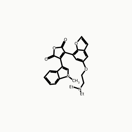 CCN(CC)CCOc1cc(C2=C(c3cn(C)c4ccccc34)C(=O)OC2=O)c2occc2c1